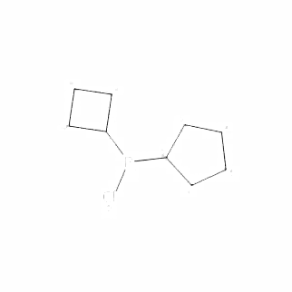 ClP(C1CCCC1)C1CCC1